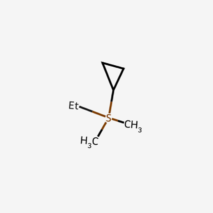 CCS(C)(C)C1CC1